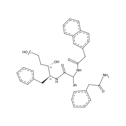 CC(C)C(NC(=O)Cc1ccc2ccccc2c1)C(=O)N[C@@H](Cc1ccccc1)[C@@H](O)CCC(=O)O.NC(=O)Cc1ccccc1